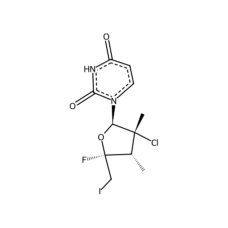 C[C@H]1[C@@](C)(Cl)[C@H](n2ccc(=O)[nH]c2=O)O[C@]1(F)CI